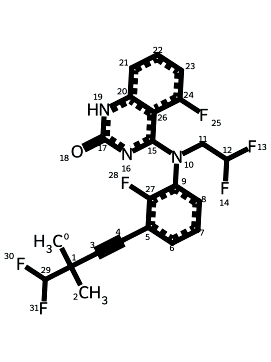 CC(C)(C#Cc1cccc(N(CC(F)F)c2nc(=O)[nH]c3cccc(F)c23)c1F)C(F)F